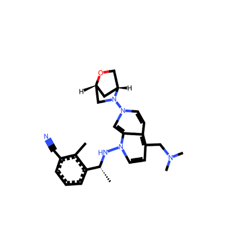 Cc1c(C#N)cccc1[C@@H](C)NN1C=CC(CN(C)C)=C2C=CN(N3C[C@H]4C[C@@H]3CO4)C=C21